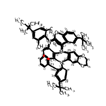 Cc1cc(C(C)(C)C)cc(C)c1N1c2cccc3c2B(c2cc4c(cc2N3c2ccc(C(C)(C)C)cc2-c2ccccc2)OCCO4)c2c1oc1ccc(C(C)(C)C)cc21